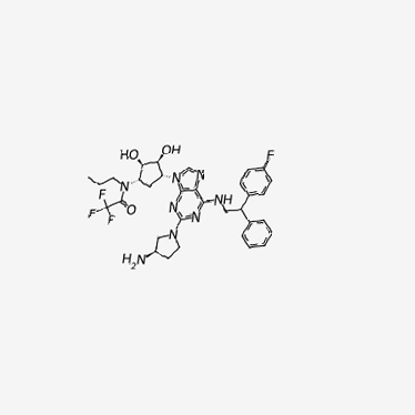 CCCN(C(=O)C(F)(F)F)[C@H]1C[C@@H](n2cnc3c(NCC(c4ccccc4)c4ccc(F)cc4)nc(N4CC[C@@H](N)C4)nc32)[C@H](O)[C@@H]1O